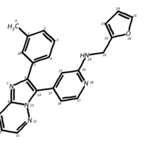 Cc1cccc(-c2nc3cccnn3c2-c2ccnc(NCc3ccco3)c2)c1